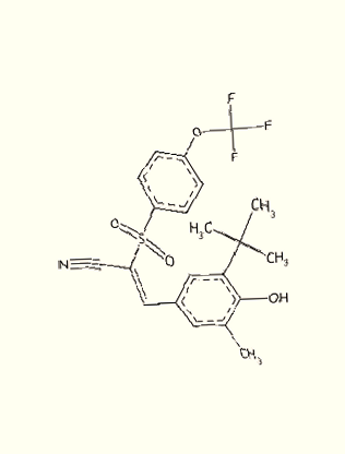 Cc1cc(/C=C(/C#N)S(=O)(=O)c2ccc(OC(F)(F)F)cc2)cc(C(C)(C)C)c1O